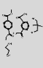 CC(C)(CO)CO.COC(=O)c1ccc(C(=O)OC)cc1.O=C(O)c1cccc(C(=O)O)c1.OCCO